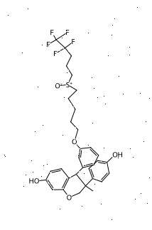 CC1(c2ccc(O)cc2)COc2cc(O)ccc2C1c1cccc(OCCCCC[S+]([O-])CCCC(F)(F)C(F)(F)F)c1